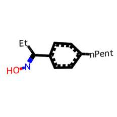 CCCCCc1ccc(C(CC)=NO)cc1